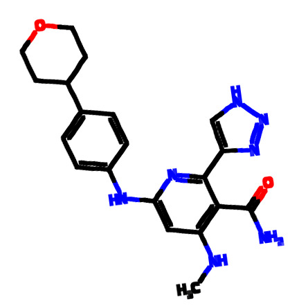 CNc1cc(Nc2ccc(C3CCOCC3)cc2)nc(-c2c[nH]nn2)c1C(N)=O